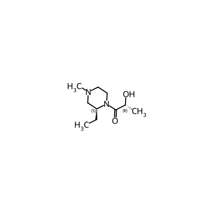 CC[C@H]1CN(C)CCN1C(=O)[C@@H](C)O